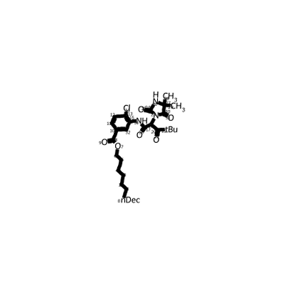 CCCCCCCCCCCCCCCCOC(=O)c1ccc(Cl)c(NC(=O)C(C(=O)C(C)(C)C)N2C(=O)NC(C)(C)C2=O)c1